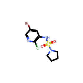 O=S(=O)(Nc1cc(Br)cnc1Cl)N1CCCC1